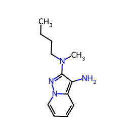 CCCCN(C)c1nn2ccccc2c1N